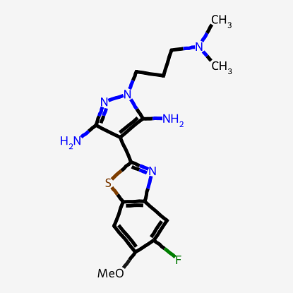 COc1cc2sc(-c3c(N)nn(CCCN(C)C)c3N)nc2cc1F